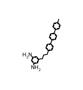 Cc1ccc(-c2ccc(-c3ccc(CCCc4cc(N)cc(N)c4)cc3)cc2)cc1